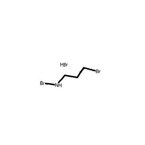 Br.BrCCCNBr